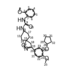 COc1ccccc1NC(=O)NC1CCC2(CC1)CC(c1ccc(OC)c(OC3CCCC3)c1)=NO2